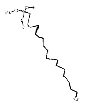 CCO[Si](CCCCCCCCCCCCCCCCl)(OCC)OCC